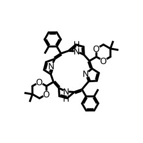 Cc1ccccc1-c1c2nc(c(C3OCC(C)(C)CO3)c3ccc([nH]3)c(-c3ccccc3C)c3nc(c(C4OCC(C)(C)CO4)c4ccc1[nH]4)C=C3)C=C2